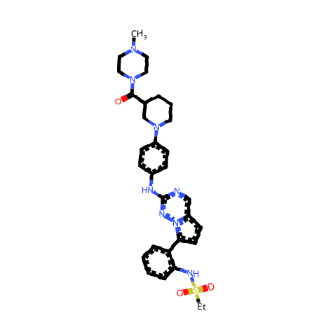 CCS(=O)(=O)Nc1ccccc1-c1ccc2cnc(Nc3ccc(N4CCCC(C(=O)N5CCN(C)CC5)C4)cc3)nn12